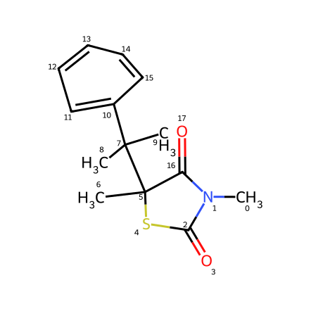 CN1C(=O)SC(C)(C(C)(C)c2ccccc2)C1=O